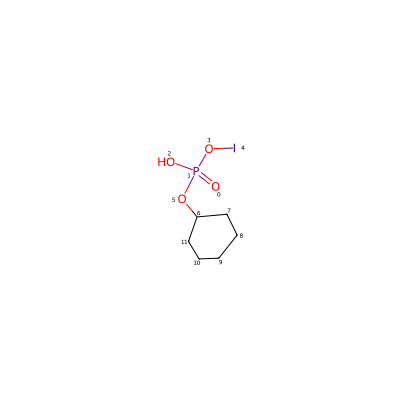 O=P(O)(OI)OC1CCCCC1